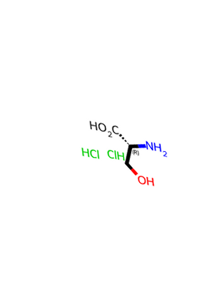 Cl.Cl.N[C@H](CO)C(=O)O